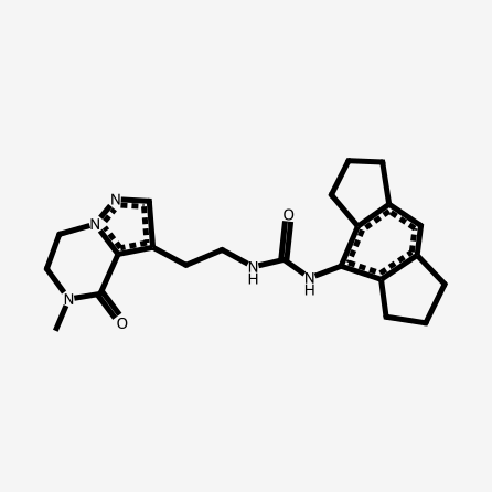 CN1CCn2ncc(CCNC(=O)Nc3c4c(cc5c3CCC5)CCC4)c2C1=O